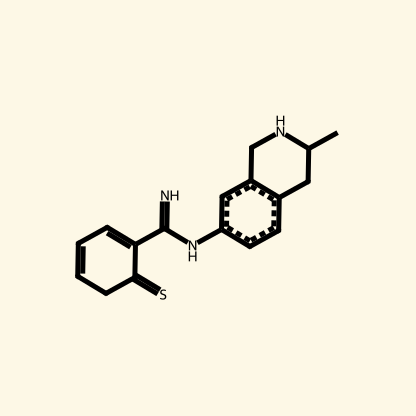 CC1Cc2ccc(NC(=N)C3=CC=CCC3=S)cc2CN1